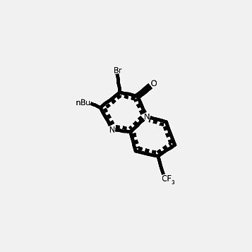 CCCCc1nc2cc(C(F)(F)F)ccn2c(=O)c1Br